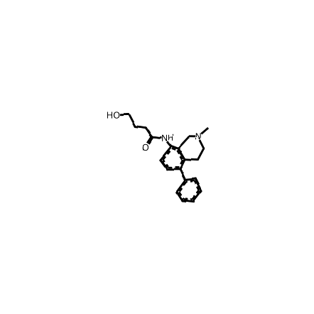 CN1CCc2c(-c3ccccc3)ccc(NC(=O)CCCO)c2C1